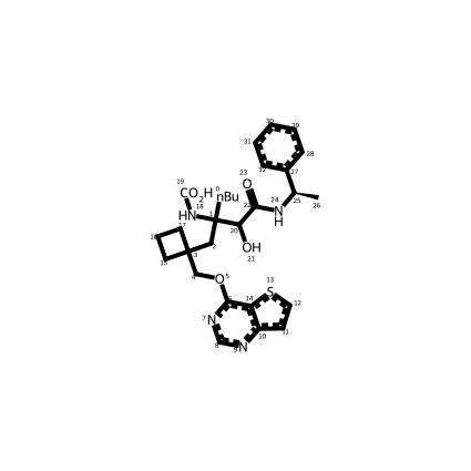 CCCCC(CC1(COc2ncnc3ccsc23)CCC1)(NC(=O)O)C(O)C(=O)N[C@H](C)c1ccccc1